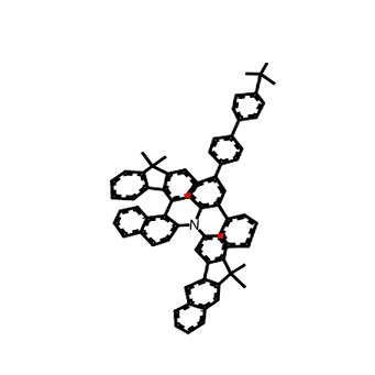 CC(C)(C)c1ccc(-c2ccc(-c3ccc(N(c4ccc5c(c4)-c4cc6ccccc6cc4C5(C)C)c4ccc5ccccc5c4-c4cccc5c4-c4ccccc4C5(C)C)c(-c4ccccc4)c3)cc2)cc1